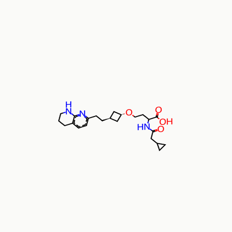 O=C(CC1CC1)NC(CCO[C@H]1C[C@H](CCc2ccc3c(n2)NCCC3)C1)C(=O)O